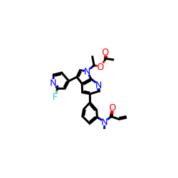 C=CC(=O)N(C)c1cccc(-c2cnc3c(c2)c(-c2ccnc(F)c2)cn3C(C)OC(C)=O)c1